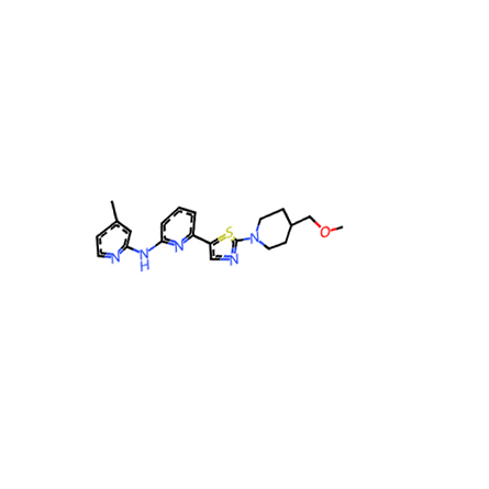 COCC1CCN(c2ncc(-c3cccc(Nc4cc(C)ccn4)n3)s2)CC1